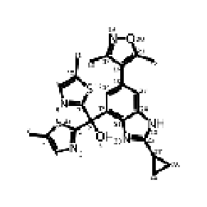 Cc1cnc(C(O)(c2ncc(C)s2)c2cc(-c3c(C)noc3C)cc3[nH]c(C4CC4)nc23)s1